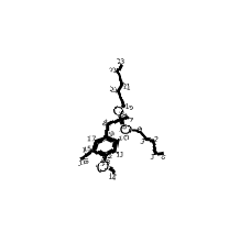 CCCCCOC(C)(Cc1ccc(OC)c(C)c1)OCCCCC